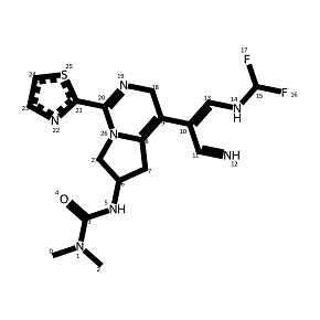 CN(C)C(=O)NC1CC2=C(/C(C=N)=C/NC(F)F)CN=C(c3nccs3)N2C1